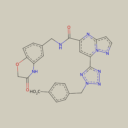 O=C1COc2ccc(CNC(=O)c3cc(-c4nnn(Cc5ccc(C(=O)O)cc5)n4)n4nccc4n3)cc2N1